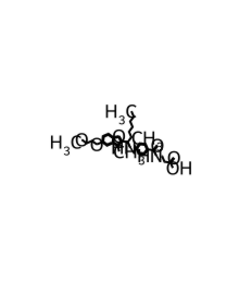 CCCCCC(C)C(Nc1ccc(C(=O)NCCC(=O)O)cc1)c1oc2ccc(OCCOC)cc2c1C